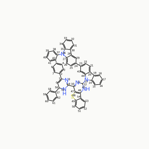 C1=C(c2ccccc2)N=C(C2=NC(n3c4ccccc4c4ccc(-c5ccc6c(c5)c5ccccc5n6-c5ccccc5)cc43)Nc3c2sc2ccccc32)NC1c1ccccc1